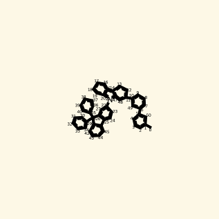 Cc1cccc(-c2cccc(-c3ccc4c5ccccc5n(-c5ccc6c(c5)C(c5ccccc5)(c5ccccc5)c5ccccc5-6)c4c3)c2)c1